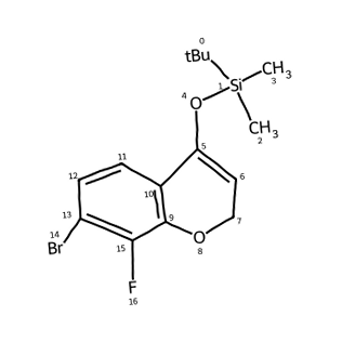 CC(C)(C)[Si](C)(C)OC1=CCOc2c1ccc(Br)c2F